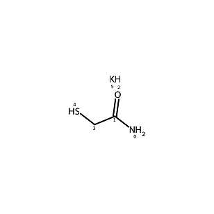 NC(=O)CS.[KH]